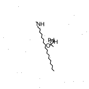 CC(=O)O.CCCCCCCCCCCCCCCCCCNC.[Pd]